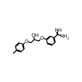 Cc1ccc(OCC(O)COc2cccc(C(=N)N)c2)cc1